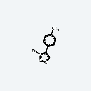 [CH2]Cn1nncc1-c1ccc(C)cc1